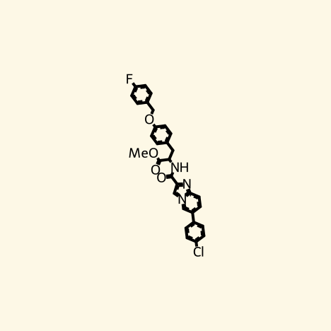 COC(=O)C(Cc1ccc(OCc2ccc(F)cc2)cc1)NC(=O)c1cn2cc(-c3ccc(Cl)cc3)ccc2n1